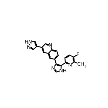 Cc1nc(-c2[nH]cnc2-c2ccc3ncc(-c4cn[nH]c4)cc3c2)ccc1F